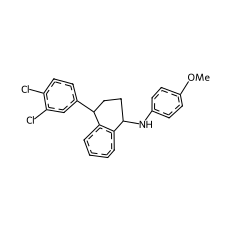 COc1ccc(NC2CCC(c3ccc(Cl)c(Cl)c3)c3ccccc32)cc1